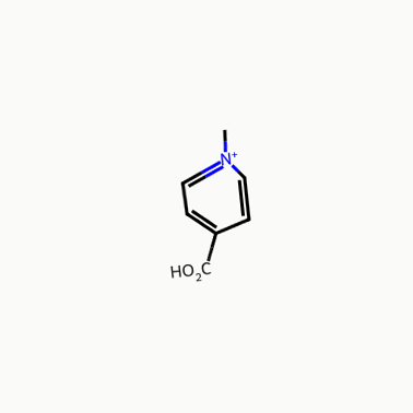 C[n+]1ccc(C(=O)O)cc1